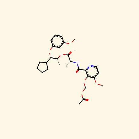 COc1cccc(O[C@H](C2CCCC2)[C@H](C)OC(=O)[C@H](C)NC(=O)c2nccc(OC)c2OCOC(C)=O)c1